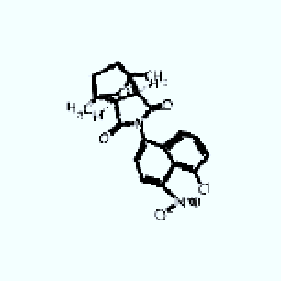 CC12CCC(C)(O1)[C@H]1C(=O)N(c3ccc([N+](=O)[O-])c4c(Cl)cccc34)C(=O)[C@H]12